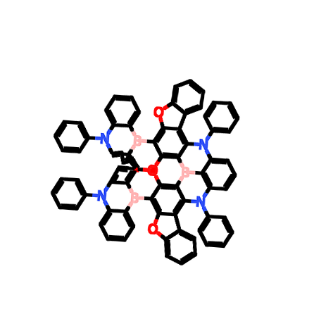 c1ccc(N2c3ccccc3B3c4c(cccc42)Oc2c4c(c5c(oc6ccccc65)c23)N(c2ccccc2)c2cccc3c2B4c2c4c(c5oc6ccccc6c5c2N3c2ccccc2)B2c3ccccc3N(c3ccccc3)c3cccc(c32)O4)cc1